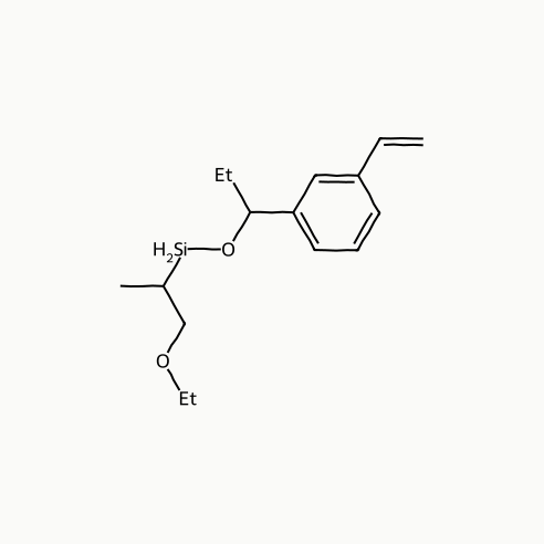 C=Cc1cccc(C(CC)O[SiH2]C(C)COCC)c1